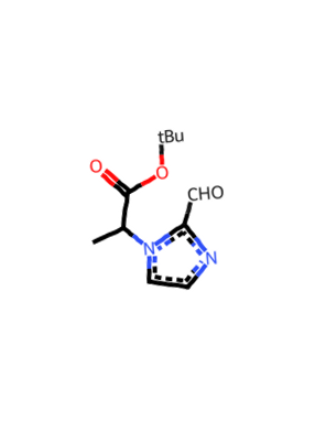 CC(C(=O)OC(C)(C)C)n1ccnc1C=O